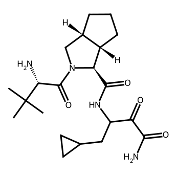 CC(C)(C)[C@H](N)C(=O)N1C[C@@H]2CCC[C@@H]2[C@H]1C(=O)NC(CC1CC1)C(=O)C(N)=O